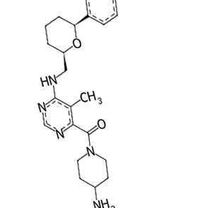 Cc1ccc([C@@H]2CCC[C@H](CNc3ncnc(C(=O)N4CCC(N)CC4)c3C)O2)cc1